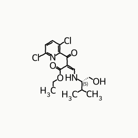 CCOC(=O)C(=CN[C@H](CO)C(C)C)C(=O)c1nc(Cl)ccc1Cl